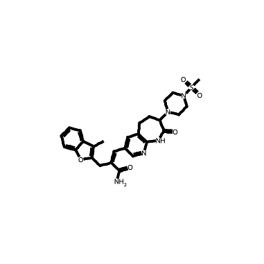 Cc1c(C/C(=C/c2cnc3c(c2)CCC(N2CCN(S(C)(=O)=O)CC2)C(=O)N3)C(N)=O)oc2ccccc12